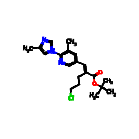 Cc1cn(-c2ncc(/C=C(\CCCCl)C(=O)OC(C)(C)C)cc2C)cn1